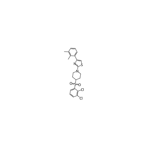 Cc1cccc(-c2csc(N3CCC(S(=O)(=O)c4cccc(Cl)c4Cl)CC3)n2)c1C